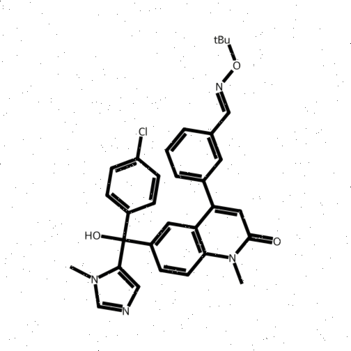 Cn1cncc1C(O)(c1ccc(Cl)cc1)c1ccc2c(c1)c(-c1cccc(C=NOC(C)(C)C)c1)cc(=O)n2C